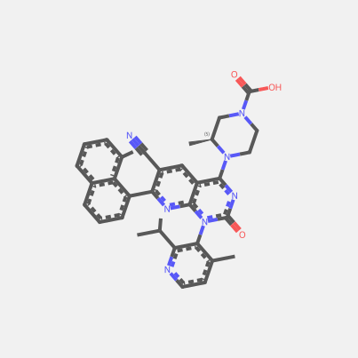 Cc1ccnc(C(C)C)c1-n1c(=O)nc(N2CCN(C(=O)O)C[C@@H]2C)c2cc(C#N)c(-c3cccc4cccc(C)c34)nc21